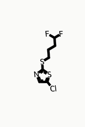 FC(F)CCCSc1ncc(Cl)s1